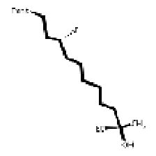 CCC[C@H](C)CC[C@H](F)CCCCCC[C@](C)(O)CC